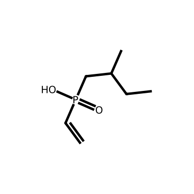 C=CP(=O)(O)CC(C)CC